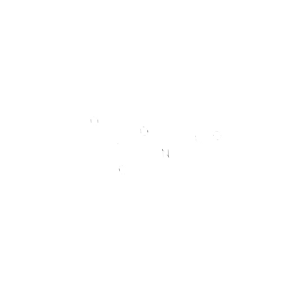 O=C=NOC(=O)Cl